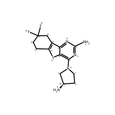 Nc1nc(N2CC[C@@H](N)C2)c2sc3c(c2n1)CC(F)(F)CC3